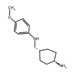 COc1ccc(NC[C@H]2CC[C@H](N)CC2)cc1